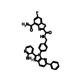 NC(=O)c1cc(F)cc2sc(C(=O)NCc3ccc(-n4c(-c5cccnc5N)nc5ccc(-c6ccccc6)nc54)cc3)nc12